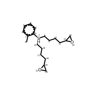 Cc1ccccc1[SiH](CCCCC1CO1)CCCCC1CO1